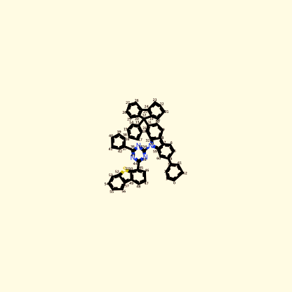 c1ccc(-c2ccc3c4ccc(C5(c6ccccc6)c6ccccc6-c6ccccc65)cc4n(-c4nc(-c5ccccc5)nc(-c5cccc6c5sc5ccccc56)n4)c3c2)cc1